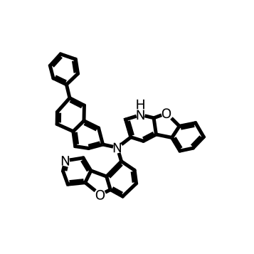 C1=C2c3ccccc3OC2NC=C1N(c1ccc2ccc(-c3ccccc3)cc2c1)c1cccc2oc3ccncc3c12